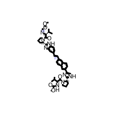 COO/C=N\[C@H](C(=O)N1CCC[C@H]1c1nc2cc(/C=C/c3ccc4cc(-c5c[nH]c([C@@H]6CCCN6C(=O)[C@@H](NC(=O)OC)C(C)C)n5)ccc4c3)ccc2[nH]1)C(C)C